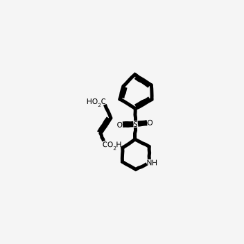 O=C(O)C=CC(=O)O.O=S(=O)(c1ccccc1)C1CCCNC1